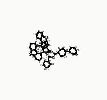 C=C/C=C(\C=C)c1cccc2sc3cccc(-c4cc(-c5nc(-c6ccccc6)nc(-c6ccc(-c7ccccc7)cc6)n5)cc5oc6ccccc6c45)c3c12